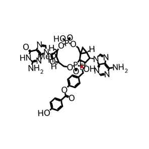 CO[C@H]1[C@H]2OP(=O)(O)OCC34C[C@@H]3[C@@H](n3cnc5c(N)ncnc53)[C@H](O)[C@@H]4P(=O)(SCc3ccc(OC(=O)c4ccc(O)cc4)cc3)OC[C@H]1O[C@H]2n1cnc2c(=O)[nH]c(N)nc21